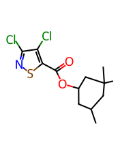 CC1CC(OC(=O)c2snc(Cl)c2Cl)CC(C)(C)C1